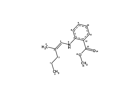 CCCC(C)=CNc1ccccc1C(=O)OC